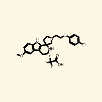 COc1ccc2[nH]c3c(c2c1)CCNC31CCN(CCOc2ccc(Cl)cc2)C1.O=C(O)C(F)(F)F